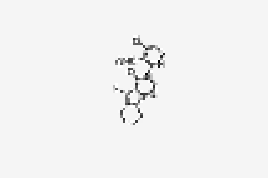 O=Cc1c(Cl)ccnc1-n1cnn2c3c(c(F)c2c1=O)CCCC3